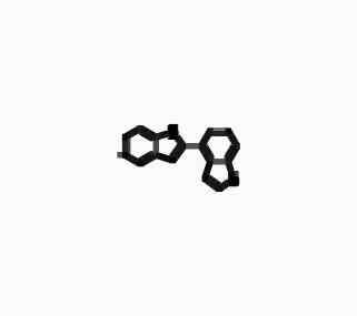 [c]1ccc2sc(-c3cccc4sccc34)cc2c1